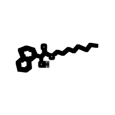 CCCCCCCCOC(=O)C(O)c1cccc2ccccc12